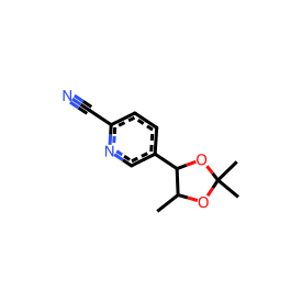 CC1OC(C)(C)OC1c1ccc(C#N)nc1